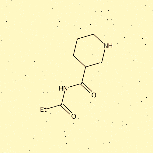 CCC(=O)NC(=O)C1CCCNC1